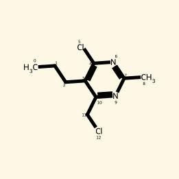 CCCc1c(Cl)nc(C)nc1CCl